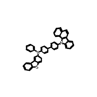 c1ccc(N(c2ccc(-c3ccc(-n4c5ccccc5c5ccc6ccccc6c54)cc3)cc2)c2ccc3sc4ccccc4c3c2)cc1